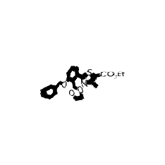 CCOC(=O)c1sc(-c2cccc(OCc3ccccc3)c2C2OCCO2)nc1C